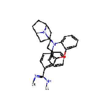 CCN=C(NCC)c1ccc2c(c1)Oc1ccccc1N2C1CC2CCC(C1)N2CCc1ccccc1